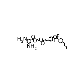 CCCCC1CCC(C(F)(F)Oc2ccc(/C=C/C(=O)OCCOC(=O)c3cc(N)cc(N)c3)cc2)CC1